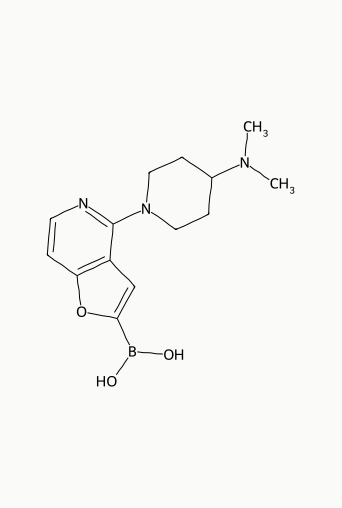 CN(C)C1CCN(c2nccc3oc(B(O)O)cc23)CC1